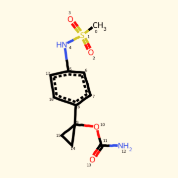 CS(=O)(=O)Nc1ccc(C2(OC(N)=O)CC2)cc1